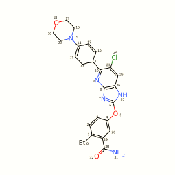 CCc1ccc(Oc2nc3nc(C4C=CC(N5CCOCC5)=CC4)c(Cl)cc3[nH]2)cc1C(N)=O